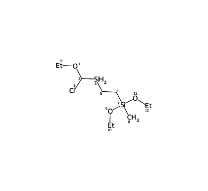 CCOC(Cl)[SiH2]CC[Si](C)(OCC)OCC